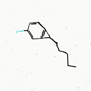 CCCCCC1c2ccc(F)cc21